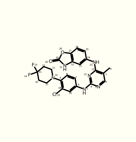 Cc1cnc(Nc2ccc(N3CCC(F)(F)CC3)c(Cl)c2)nc1Nc1ccc2oc(=O)[nH]c2c1